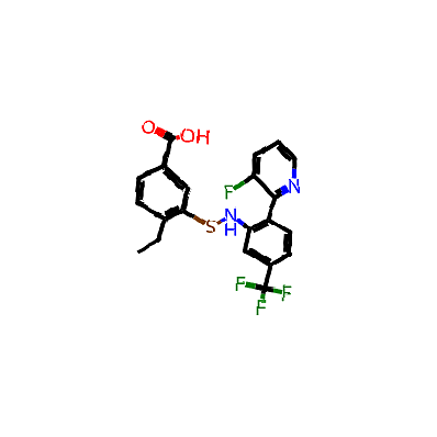 CCc1ccc(C(=O)O)cc1SNc1cc(C(F)(F)F)ccc1-c1ncccc1F